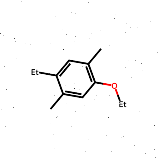 CCOc1cc(C)c(CC)cc1C